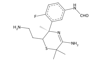 CC1(C)SC(CCN)[C@@](C)(c2cc(NC=O)ccc2F)N=C1N